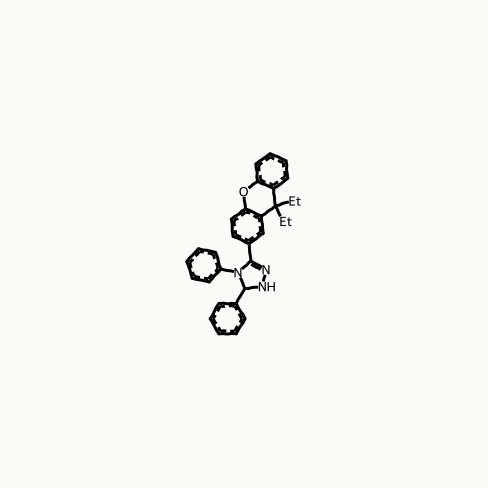 CCC1(CC)c2ccccc2Oc2ccc(C3=NNC(c4ccccc4)N3c3ccccc3)cc21